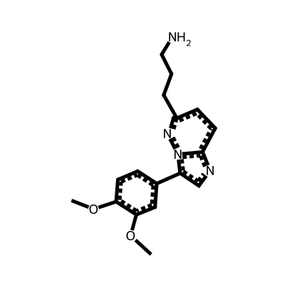 COc1ccc(-c2cnc3ccc(CCCN)nn23)cc1OC